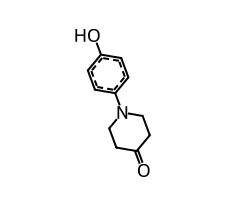 O=C1CCN(c2ccc(O)cc2)CC1